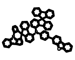 c1ccc2c(c1)-c1ccccc1C21c2ccccc2-c2c(N(c3ccc(-c4ccc5c(c4)oc4ccccc45)cc3)c3cccc4c3-c3ccccc3C43c4ccccc4-n4c5ccccc5c5cccc3c54)cccc21